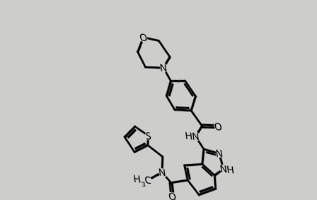 CN(Cc1cccs1)C(=O)c1ccc2[nH]nc(NC(=O)c3ccc(N4CCOCC4)cc3)c2c1